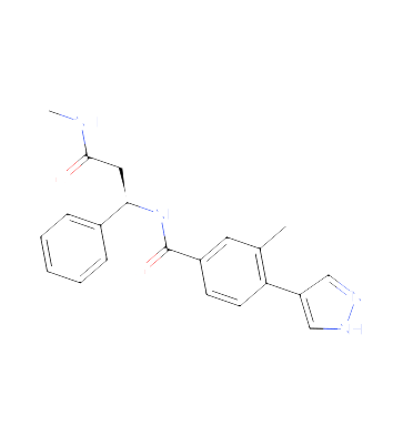 CNC(=O)C[C@@H](NC(=O)c1ccc(-c2cn[nH]c2)c(C)c1)c1ccccc1